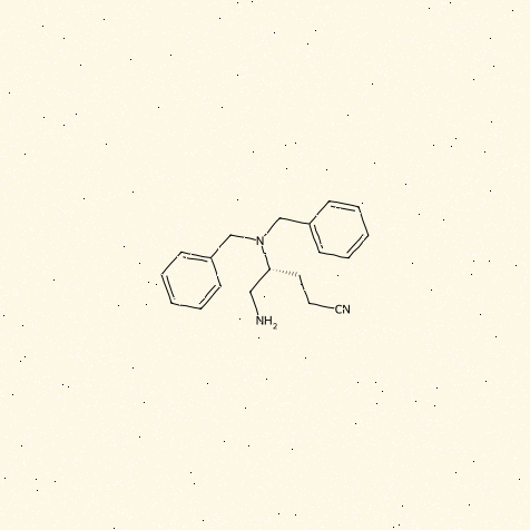 N#CCC[C@H](CN)N(Cc1ccccc1)Cc1ccccc1